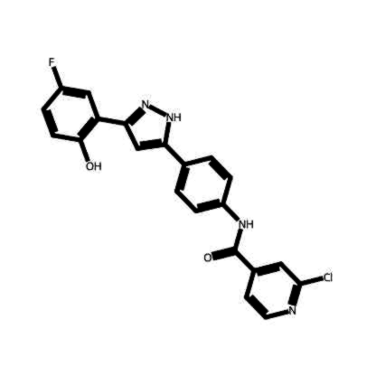 O=C(Nc1ccc(-c2cc(-c3cc(F)ccc3O)n[nH]2)cc1)c1ccnc(Cl)c1